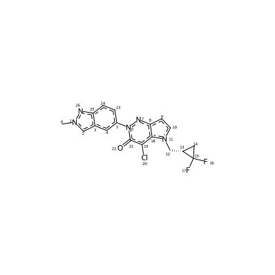 Cn1cc2cc(-n3nc4ccn(C[C@@H]5CC5(F)F)c4c(Cl)c3=O)ccc2n1